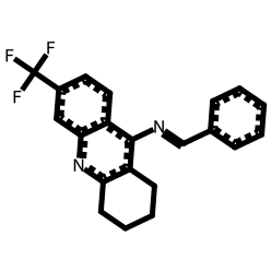 FC(F)(F)c1ccc2c(/N=C/c3ccccc3)c3c(nc2c1)CCCC3